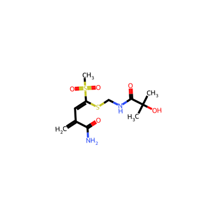 C=C(/C=C(\SCNC(=O)C(C)(C)O)S(C)(=O)=O)C(N)=O